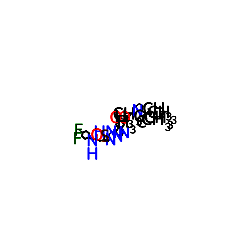 COc1cc2c(Nc3ncc(CC(=O)Nc4ccc(F)c(F)c4)s3)ncnc2cc1OCCCN1CCC[C@H]1C(C(C)(C)C)C(C)(C)C